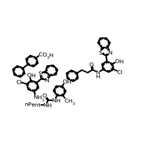 CCCCCNC(=O)Nc1ccc(O)cc1C.Nc1cc(Cl)c(O)c(-c2nc3ccccc3s2)c1.O=C(CCc1ccccc1)Nc1cc(Cl)c(O)c(-c2nc3ccccc3s2)c1.O=C(O)c1ccc(-c2ccccc2)cc1